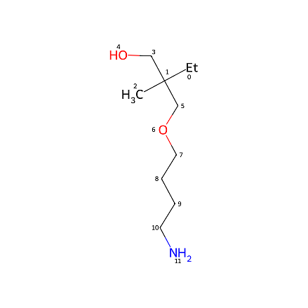 CCC(C)(CO)COCCCCN